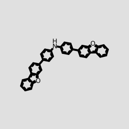 c1ccc2c(c1)oc1cc(-c3ccc(Nc4ccc(-c5ccc6c(c5)oc5ccccc56)cc4)cc3)ccc12